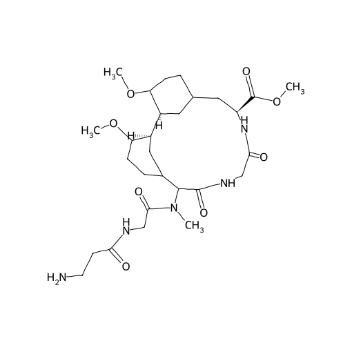 COC(=O)[C@@H]1CC2CCC(OC)[C@@H](C2)[C@H]2CC(CCC2OC)C(N(C)C(=O)CNC(=O)CCN)C(=O)NCC(=O)N1